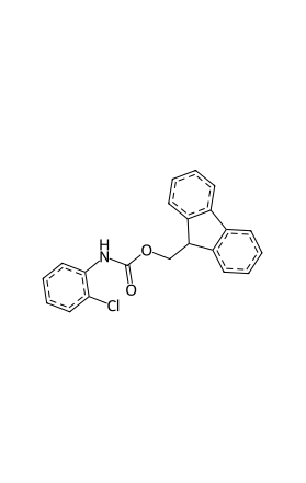 O=C(Nc1ccccc1Cl)OCC1c2ccccc2-c2ccccc21